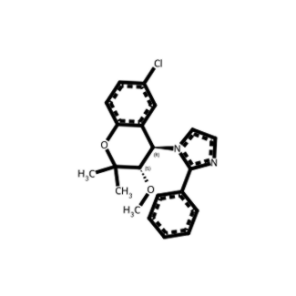 CO[C@H]1[C@H](n2ccnc2-c2ccccc2)c2cc(Cl)ccc2OC1(C)C